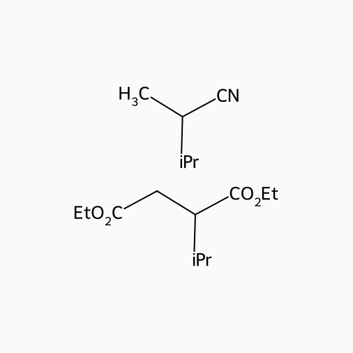 CC(C)C(C)C#N.CCOC(=O)CC(C(=O)OCC)C(C)C